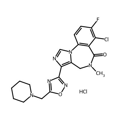 CN1Cc2c(-c3noc(CN4CCCCC4)n3)ncn2-c2ccc(F)c(Cl)c2C1=O.Cl